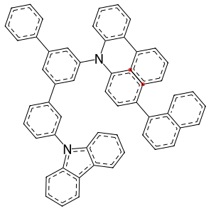 c1ccc(-c2cc(-c3cccc(-n4c5ccccc5c5ccccc54)c3)cc(N(c3ccc(-c4cccc5ccccc45)cc3)c3ccccc3-c3ccccc3)c2)cc1